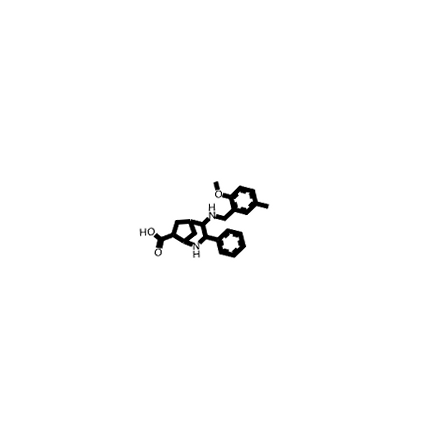 COc1ccc(C)cc1CNC1C2CC(NC1c1ccccc1)C(C(=O)O)C2